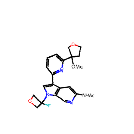 COC1(c2cccc(-c3cn(C4(F)COC4)c4cnc(NC(C)=O)cc34)n2)CCOC1